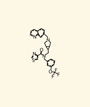 O=C(c1cscn1)N(Cc1cccc(OC(F)(F)F)c1)CC1C2CN(Cc3ccc4cccnc4c3)CC21